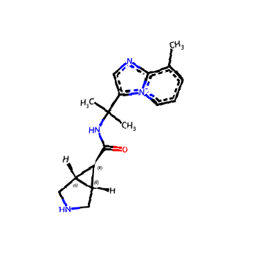 Cc1cccn2c(C(C)(C)NC(=O)[C@H]3[C@@H]4CNC[C@@H]43)cnc12